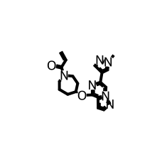 C=CC(=O)N1CCC[C@H](Oc2nc(-c3cnn(C)c3)cn3nccc23)CC1